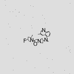 Cc1cnc2cccc(N(C)[C@H]3CCN(CC(=O)N4C[C@@H](F)C[C@H]4C)C3)c2c1